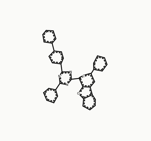 c1ccc(-c2ccc(-c3nc(-c4ccccc4)nc(-c4cc(-c5ccccc5)cc5c4oc4ccccc45)n3)cc2)cc1